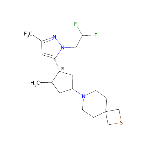 CC1CC(N2CCC3(CC2)CSC3)C[C@H]1c1cc(C(F)(F)F)nn1CC(F)F